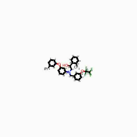 CC(C)c1cccc(Oc2cccc(N(Cc3cccc(OC(F)(F)C(F)F)c3)CC(O)c3ccccc3C(F)(F)F)c2)c1